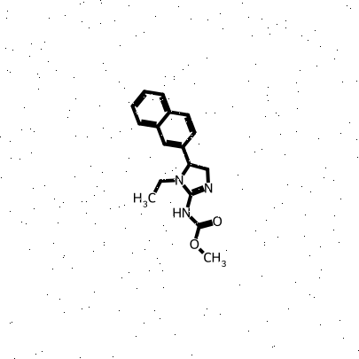 CCN1C(NC(=O)OC)=NCC1c1ccc2ccccc2c1